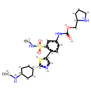 CC(C)(C)NS(=O)(=O)c1cc(NC(=O)OCC2CCCN2)ccc1-c1cnc([C@H]2CC[C@H](NC=O)CC2)s1